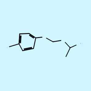 COC(C)OCOc1ccc(Br)cc1